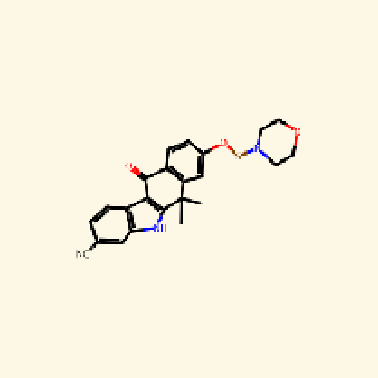 CC1(C)c2cc(OSN3CCOCC3)ccc2C(=O)c2c1[nH]c1cc(C#N)ccc21